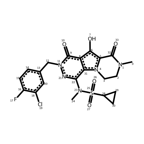 CN1CCn2c(c(O)c3c(=O)n(Cc4ccc(F)c(Cl)c4)nc(N(C)S(=O)(=O)C4CC4)c32)C1=O